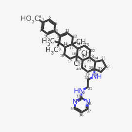 CC1(C)C(c2ccc(C(=O)O)cc2)=CCC2(C)C1CCC1(C)C2CCC2C3CCCC3(NCCNc3ncccn3)CC[C@]21C